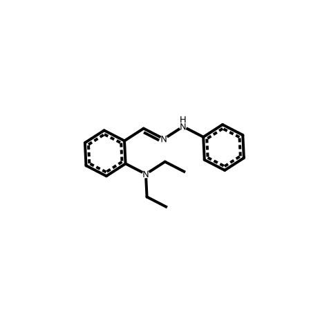 CCN(CC)c1ccccc1C=NNc1ccccc1